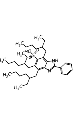 CCCCC(CC)Cc1c(S(=O)(=O)O)c(CC(CC)CCCC)c2[nH]c(-c3ccccc3)nc2c1CC(CC)CCCC